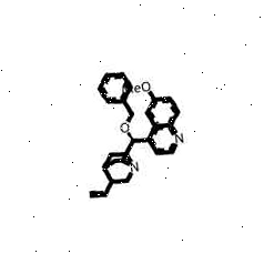 C=CC1CN2CCC1CC2[C@@H](OCc1ccccc1)c1ccnc2ccc(OC)cc12